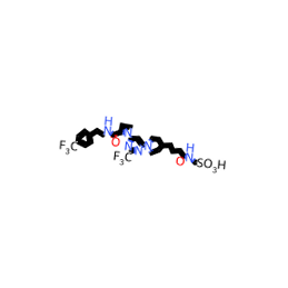 O=C(CCCC1CCN(c2cc(N3CCC3C(=O)NCCc3ccc(C(F)(F)F)cc3)nc(C(F)(F)F)n2)CC1)NCS(=O)(=O)O